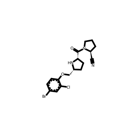 N#C[C@@H]1CCCN1C(=O)[C@@H]1CC[C@H](COc2ccc(Br)cc2Cl)N1